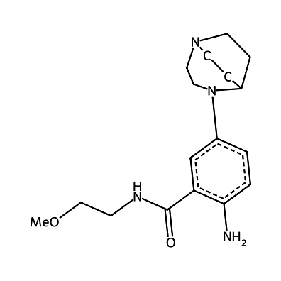 COCCNC(=O)c1cc(N2CCN3CCC2CC3)ccc1N